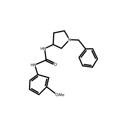 COc1cccc(NC(=O)NC2CCN(Cc3ccccc3)C2)c1